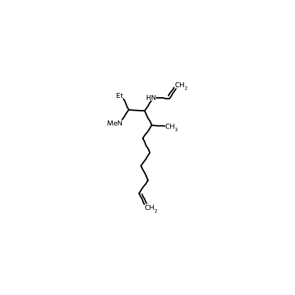 C=CCCCCC(C)C(NC=C)C(CC)NC